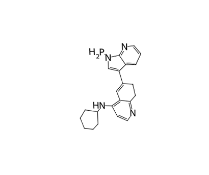 Pn1cc(C2=Cc3c(NC4CCCCC4)ccnc3CC2)c2cccnc21